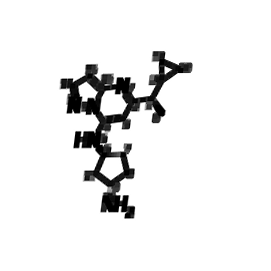 C[C@@H](c1cc(N[C@H]2CC[C@H](N)C2)n2nccc2n1)C1CC1